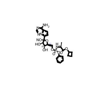 C[C@H](NP(=O)(O/C=C1/O[C@@](C#N)(c2ccc3c(N)ncnn23)[C@H](O)[C@@H]1O)Oc1ccccc1)C(=O)OC1CCC1